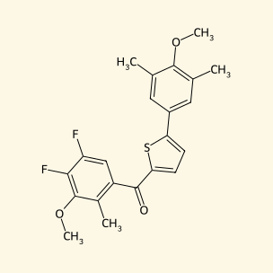 COc1c(C)cc(-c2ccc(C(=O)c3cc(F)c(F)c(OC)c3C)s2)cc1C